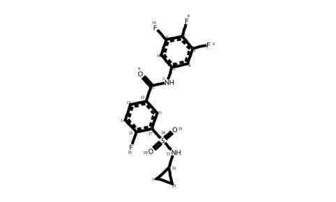 O=C(Nc1cc(F)c(F)c(F)c1)c1ccc(F)c(S(=O)(=O)NC2CC2)c1